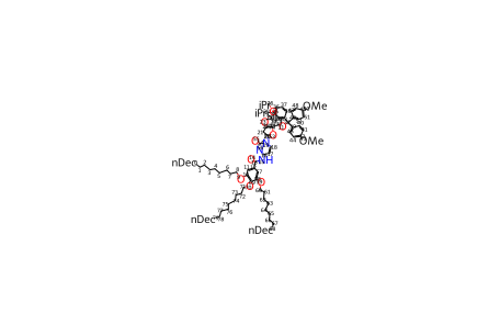 CCCCCCCCCCCCCCCCCCOc1cc(C(=O)Nc2ccn([C@H]3C[C@H](O[Si](OC(C)C)(C(C)C)C(C)C)[C@@H](COC(c4ccccc4)(c4ccc(OC)cc4)c4ccc(OC)cc4)O3)c(=O)n2)cc(OCCCCCCCCCCCCCCCCCC)c1OCCCCCCCCCCCCCCCCCC